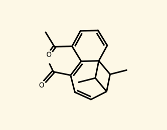 CC(=O)C1=CC=CC23C1=C(C(C)=O)C=CC(C2C)C3C